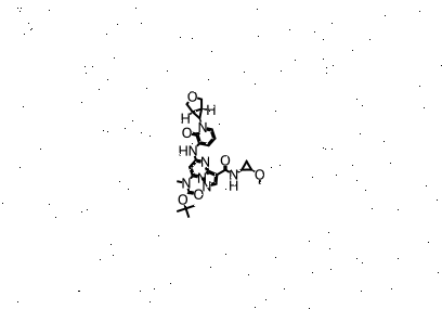 CO[C@@H]1CC1NC(=O)c1cnn2c(N(C)C(=O)OC(C)(C)C)cc(Nc3cccn([C@H]4[C@@H]5COC[C@@H]54)c3=O)nc12